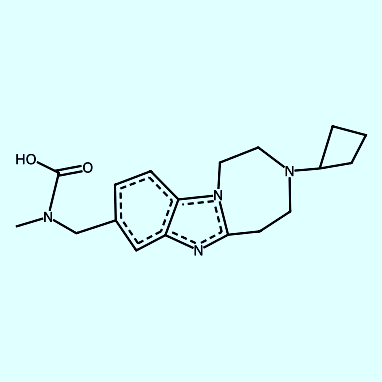 CN(Cc1ccc2c(c1)nc1n2CCN(C2CCC2)CC1)C(=O)O